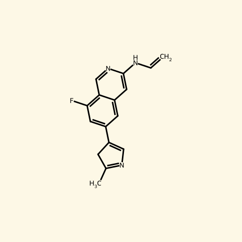 C=CNc1cc2cc(C3=CN=C(C)C3)cc(F)c2cn1